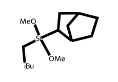 CCC(C)C[Si](OC)(OC)C1CC2CCC1C2